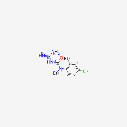 CCc1cc(Cl)ccc1N(CC)C(=O)NC(=N)N